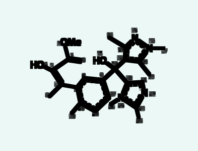 C=C(OC)/C(O)=C(/C)c1cc(C(O)(c2c(C)nn(C)c2C)c2cnc(C)n2C)ccc1C